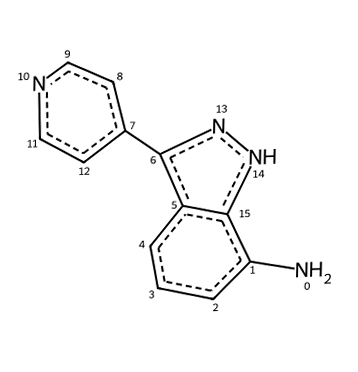 Nc1cccc2c(-c3ccncc3)n[nH]c12